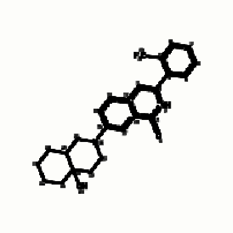 O=c1[nH]c(-c2ccccc2C(F)(F)F)cc2ccc(N3CCC4(O)CCCCC4C3)cc12